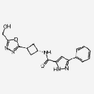 O=C(N[C@H]1C[C@H](c2nnc(CO)o2)C1)c1cc(-c2ccccc2)n[nH]1